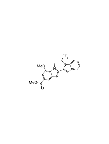 COC(=O)c1cc(OC)c2c(c1)nc(-c1cc3ccccc3n1CC(F)(F)F)n2C